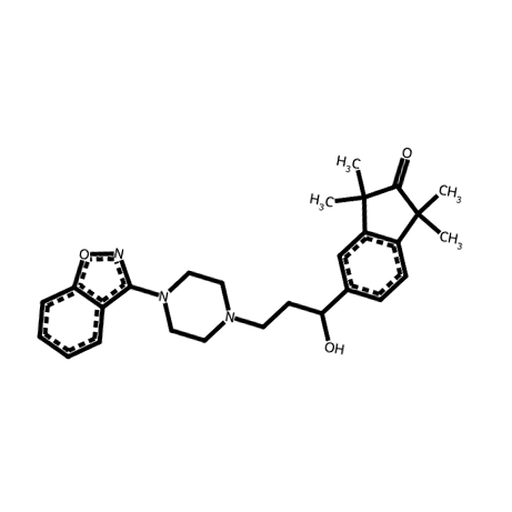 CC1(C)C(=O)C(C)(C)c2cc(C(O)CCN3CCN(c4noc5ccccc45)CC3)ccc21